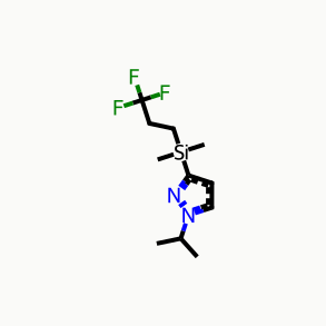 CC(C)n1ccc([Si](C)(C)CCC(F)(F)F)n1